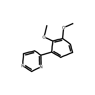 COc1cccc(-c2ccncn2)c1OC